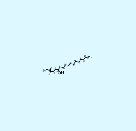 CC(C)(O)CCC(O)CCCCCCCCCCCO